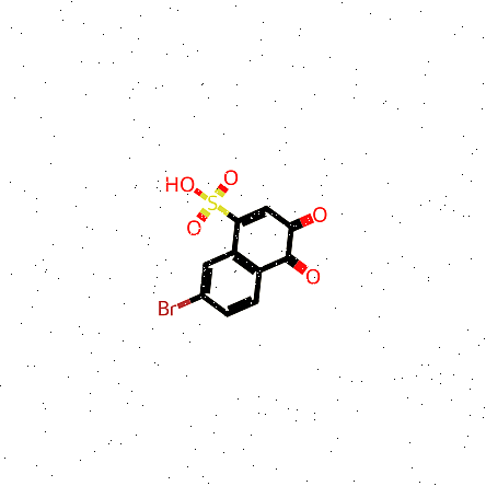 O=C1C=C(S(=O)(=O)O)c2cc(Br)ccc2C1=O